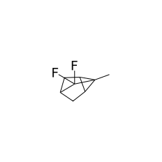 CC12C3CC(CC31)C2(F)F